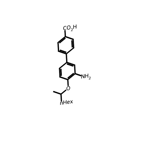 CCCCCCC(C)Oc1ccc(-c2ccc(C(=O)O)cc2)cc1N